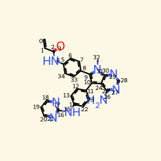 C=CC(=O)Nc1ccc(-c2c(-c3ccc(Nc4ncccn4)cc3)c3c(N)ncnc3n2C)cc1